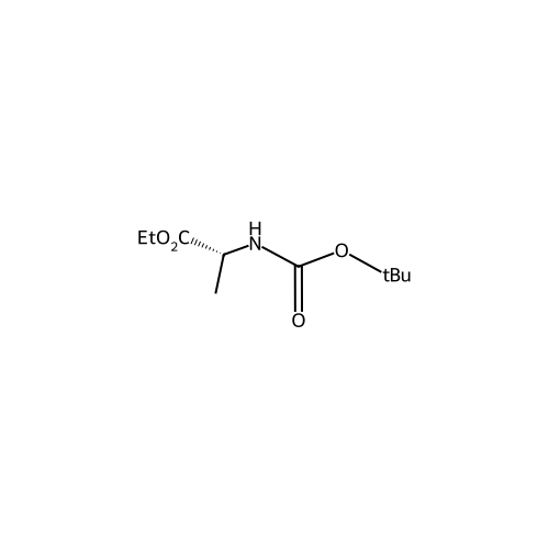 CCOC(=O)[C@@H](C)NC(=O)OC(C)(C)C